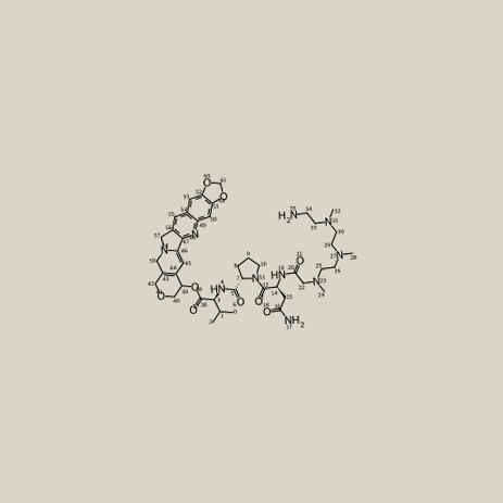 CC(C)[C@H](NC(=O)[C@@H]1CCCN1C(=O)[C@H](CC(N)=O)NC(=O)CN(C)CCN(C)CCN(C)CCN)C(=O)OC1COCC2=C1C=C1c3nc4cc5c(cc4cc3CN1C2)OCO5